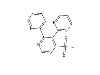 CS(=O)(=O)c1ccnc(-c2ccccn2)c1-c1ccccn1